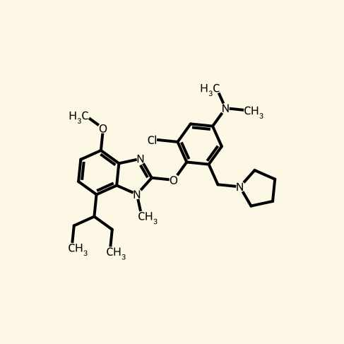 CCC(CC)c1ccc(OC)c2nc(Oc3c(Cl)cc(N(C)C)cc3CN3CCCC3)n(C)c12